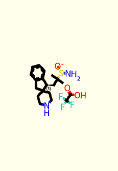 CC(C)(C[C@@H]1c2ccccc2CC12CCNCC2)[S+](N)[O-].O=C(O)C(F)(F)F